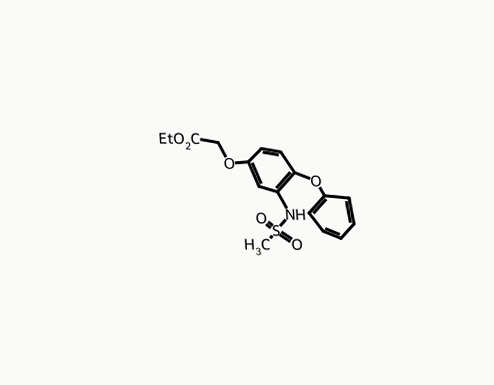 CCOC(=O)COc1ccc(Oc2ccccc2)c(NS(C)(=O)=O)c1